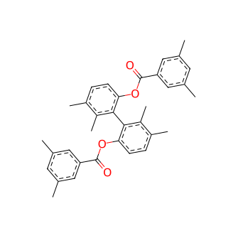 Cc1cc(C)cc(C(=O)Oc2ccc(C)c(C)c2-c2c(OC(=O)c3cc(C)cc(C)c3)ccc(C)c2C)c1